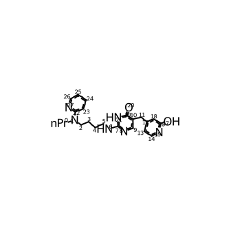 CCCN(CCCCNc1ncc(Cc2ccnc(O)c2)c(=O)[nH]1)c1ccccn1